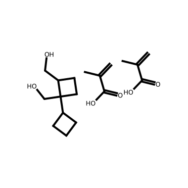 C=C(C)C(=O)O.C=C(C)C(=O)O.OCC1CCC1(CO)C1CCC1